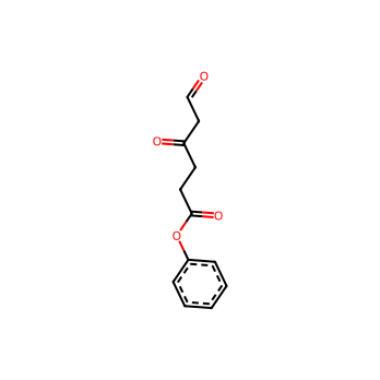 O=CCC(=O)CCC(=O)Oc1ccccc1